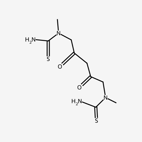 CN(CC(=O)CC(=O)CN(C)C(N)=S)C(N)=S